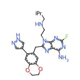 CC(C)CNCCn1c(Cc2cc3c(cc2-c2cn[nH]c2)OCCO3)nc2c(N)nc(F)nc21